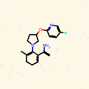 C=C(N)C1=CCCC(C)=C1N1CCC(Oc2ccc(F)cn2)C1